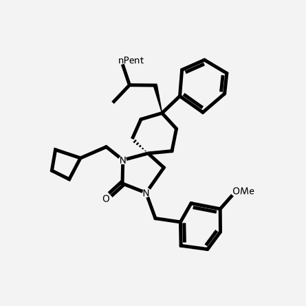 CCCCCC(C)C[C@]1(c2ccccc2)CC[C@]2(CC1)CN(Cc1cccc(OC)c1)C(=O)N2CC1CCC1